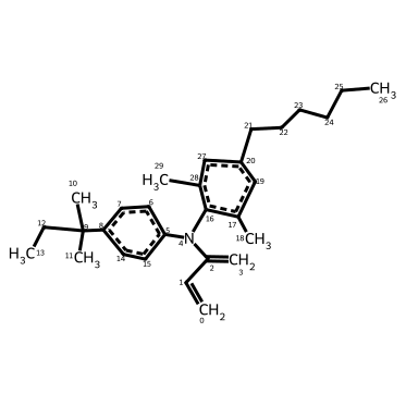 C=CC(=C)N(c1ccc(C(C)(C)CC)cc1)c1c(C)cc(CCCCCC)cc1C